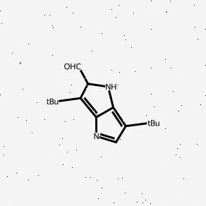 CC(C)(C)C1=C2NC(C=O)C(C(C)(C)C)=C2N=C1